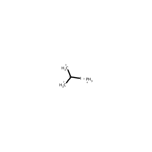 CC(C)I.P